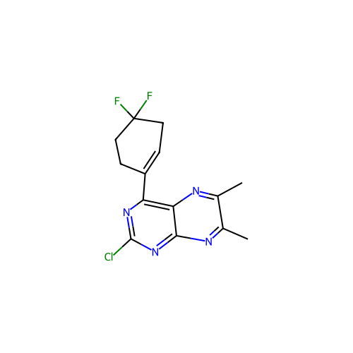 Cc1nc2nc(Cl)nc(C3=CCC(F)(F)CC3)c2nc1C